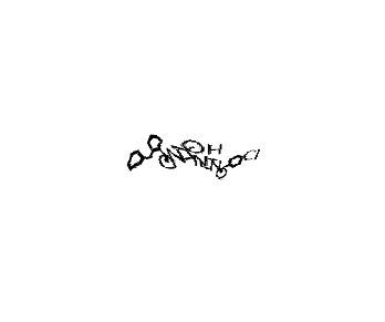 O=C(c1ccc(Cl)cc1)N1CCN([C@@H]2CN(C(=O)c3ccccc3Cc3ccccc3)C[C@H]2O)CC1